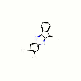 C=C1c2ccccc2-c2nc3cc(C#N)c(C#N)cc3nc21